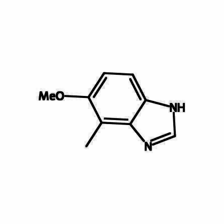 COc1ccc2[nH]cnc2c1C